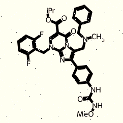 CONC(=O)Nc1ccc(-c2nc3n(Cc4c(F)cccc4F)cc(C(=O)OC(C)C)c(=O)n3c2CN(C)Cc2ccccc2)cc1